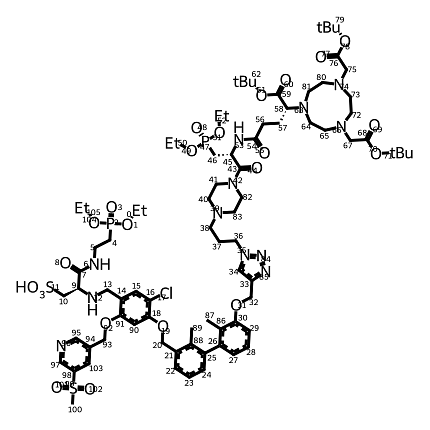 CCOP(=O)(CCNC(=O)[C@H](CS(=O)(=O)O)NCc1cc(Cl)c(OCc2cccc(-c3cccc(OCc4cn(CCCN5CCN(C(=O)[C@H](CP(=O)(OCC)OCC)NC(=O)CC[C@H](C(=O)OC(C)(C)C)N6CCN(CC(=O)OC(C)(C)C)CCN(CC(=O)OC(C)(C)C)CC6)CC5)nn4)c3C)c2C)cc1OCc1cncc(S(C)(=O)=O)c1)OCC